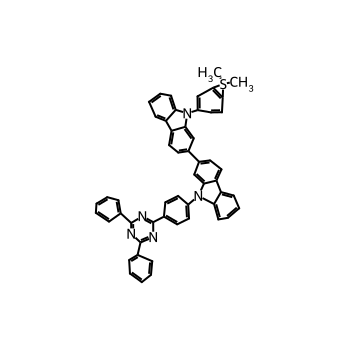 CS1(C)c2ccc(-n3c4ccccc4c4ccc(-c5ccc6c7ccccc7n(-c7ccc(-c8nc(-c9ccccc9)nc(-c9ccccc9)n8)cc7)c6c5)cc43)cc21